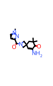 Cn1ccc(C(=O)N2CC3(C=C(N)C(=O)C(C)(C)C3)C2)n1